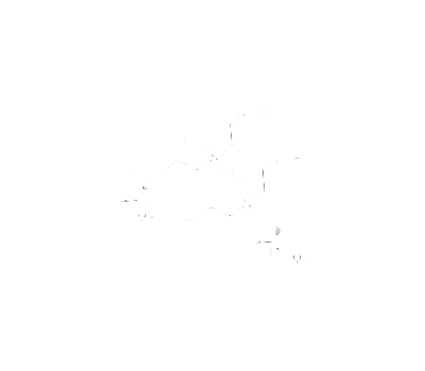 CCCCCCCCCCCC[N+](C)(C)CCCCCCCCCCCC.CCCCCCCCCCCC[N+](C)(C)CCCCCCCCCCCC.CO[PH](=O)[O-].CO[PH](=O)[O-]